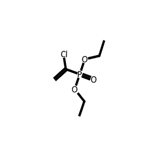 C=C(Cl)P(=O)(OCC)OCC